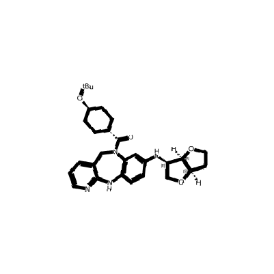 CC(C)(C)O[C@H]1CC[C@H](C(=O)N2Cc3cccnc3Nc3ccc(N[C@@H]4CO[C@@H]5CCO[C@H]45)cc32)CC1